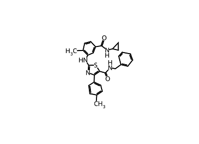 Cc1ccc(-c2nc(Nc3cc(C(=O)NC4CC4)ccc3C)sc2C(=O)NCc2ccccc2)cc1